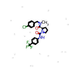 CN(Cc1ccc(Cl)cc1)C(=O)[C@H]1CCCN1C(=O)Nc1ccc(C(F)(F)F)cc1